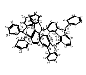 c1ccc(-n2c3ccc(-n4c5ccccc5c5c([Si](c6ccccc6)(c6ccccc6)c6ccccc6)cccc54)cc3c3c(-n4c5ccccc5c5ccccc54)cccc32)cc1